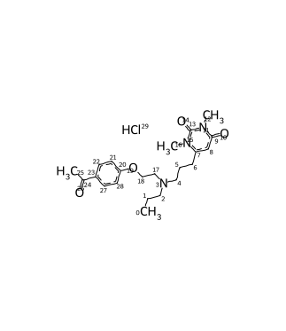 CCCN(CCCc1cc(=O)n(C)c(=O)n1C)CCOc1ccc(C(C)=O)cc1.Cl